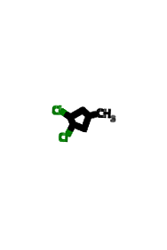 CC1CC(Cl)C(Cl)C1